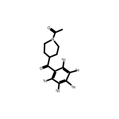 [2H]c1c([2H])c([2H])c(C(=O)C2CCN(C(C)=O)CC2)c([2H])c1[2H]